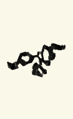 COC(=O)CC1CC(c2ccc(C#N)cc2)N(C(=O)OC(C)(C)C)C1=O